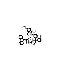 O=C(NC1=NC(c2cccc(F)c2)(c2cccc(NC(=O)c3ccc(Cl)cc3Cl)c2)CS1)OCC1c2ccccc2-c2ccccc21